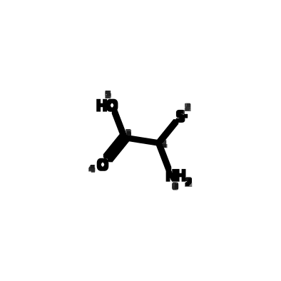 NC([S])C(=O)O